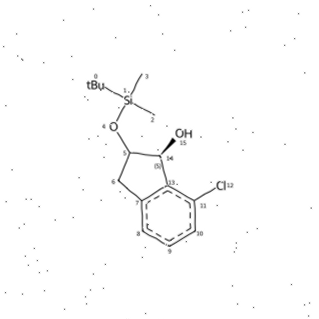 CC(C)(C)[Si](C)(C)OC1Cc2cccc(Cl)c2[C@@H]1O